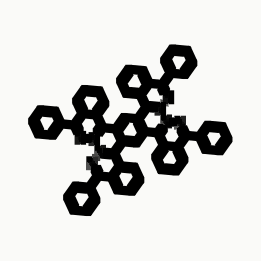 c1ccc(-c2nnc(-c3cc(-c4nnc(-c5ccccc5)c5ccccc45)c(-c4nnc(-c5ccccc5)c5ccccc45)cc3-c3nnc(-c4ccccc4)c4ccccc34)c3ccccc23)cc1